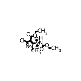 CCOC(=O)NS(=O)(=O)c1c(C(=O)OCC)c(Cl)nn1C